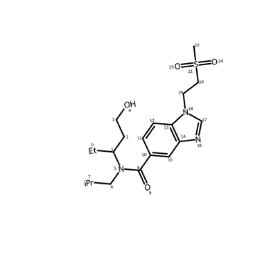 CCC(CCO)N(CC(C)C)C(=O)c1ccc2c(c1)ncn2CCS(C)(=O)=O